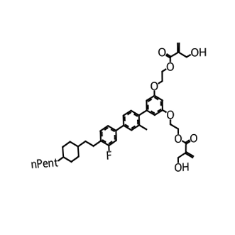 C=C(CO)C(=O)OCCOc1cc(OCCOC(=O)C(=C)CO)cc(-c2ccc(-c3ccc(CCC4CCC(CCCCC)CC4)c(F)c3)cc2C)c1